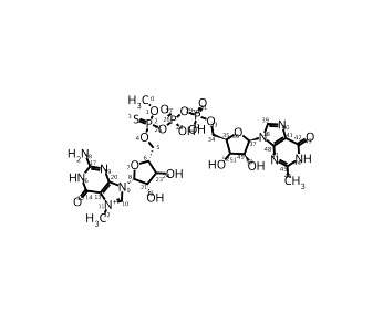 COP(=S)(OC[C@H]1O[C@@H](n2c[n+](C)c3c(=O)[nH]c(N)nc32)[C@@H](O)C1O)OP(=O)(O)OP(=O)(O)OC[C@H]1O[C@@H](n2cnc3c(=O)[nH]c(C)nc32)[C@@H](O)C1O